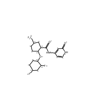 O=C(Nc1cc[nH]c(=O)c1)C1CC(C(F)(F)F)CCC1OC1CCC(F)CC1F